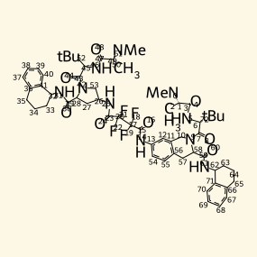 CN[C@@H](C)C(=O)NC(C(=O)N1Cc2cc(NC(=O)C(F)(F)C(F)(F)C(=O)NC3CC(C(=O)NC4CCCc5ccccc54)N(C(=O)C(NC(=O)[C@H](C)NC)C(C)(C)C)C3)ccc2CC1C(=O)NC1CCCc2ccccc21)C(C)(C)C